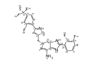 Nc1nn(Cc2cc(-c3ccc(C(F)(F)F)cc3F)no2)cc2nc(-c3cccc(F)c3F)nc1-2